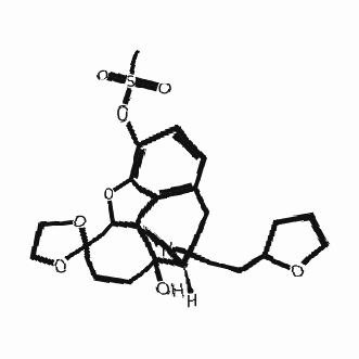 CS(=O)(=O)Oc1ccc2c3c1OC1C4(CCC5(O)[C@@H](C2)N(CC2CCCO2)CCC[C@]315)OCCO4